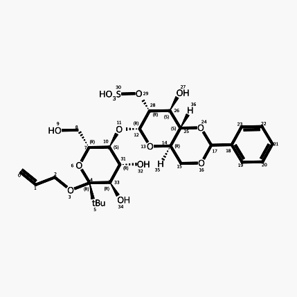 C=CCO[C@]1(C(C)(C)C)O[C@H](CO)[C@@H](O[C@H]2O[C@@H]3COC(c4ccccc4)O[C@H]3[C@H](O)[C@H]2OS(=O)(=O)O)[C@H](O)[C@H]1O